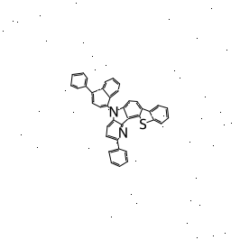 c1ccc(-c2ccc3c(n2)c2c4sc5ccccc5c4ccc2n3-c2ccc(-c3ccccc3)c3ccccc23)cc1